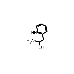 C[CH]([AlH2])Cc1ccccc1.[HH]